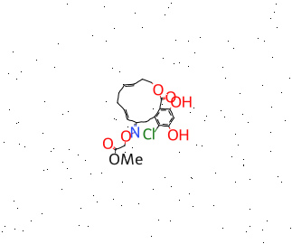 COC(=O)CO/N=C1\C=C\CC/C=C/CCOC(=O)c2c(O)cc(O)c(Cl)c2C1